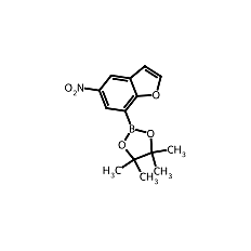 CC1(C)OB(c2cc([N+](=O)[O-])cc3ccoc23)OC1(C)C